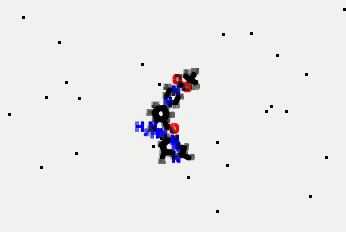 Cc1cn2nc(NC(=O)c3cc(N4CCN(C(=O)OC(C)(C)C)CC4)ccc3N)cc(C)c2n1